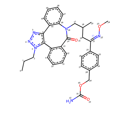 CCCn1nnc2c1-c1ccccc1C(=O)N(CC(C)C/C(=N\OC)c1ccc(COC(N)=O)cc1)c1ccccc1-2